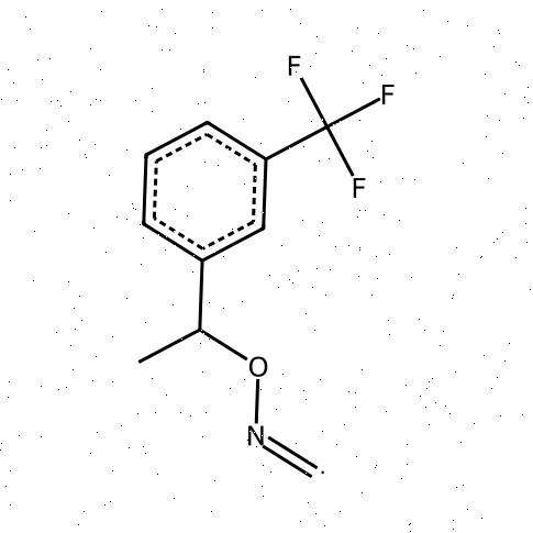 [CH]=NOC(C)c1cccc(C(F)(F)F)c1